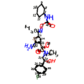 C/C(=N\OC(=O)NC1CCCCC1)c1cc(S(=O)(=O)N(C)CC(O)c2ccc(F)cc2)c(N)s1